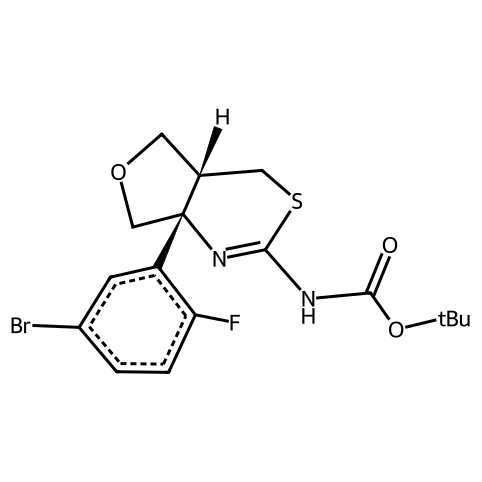 CC(C)(C)OC(=O)NC1=N[C@]2(c3cc(Br)ccc3F)COC[C@@H]2CS1